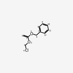 C=C(OCCl)OCc1ccccc1